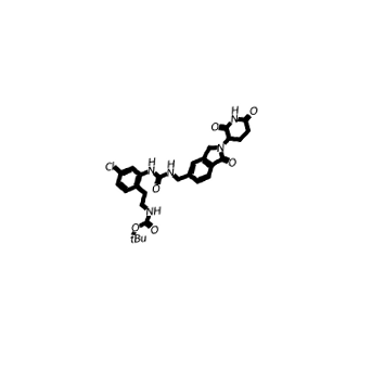 CC(C)(C)OC(=O)NCCc1ccc(Cl)cc1NC(=O)NCc1ccc2c(c1)CN(C1CCC(=O)NC1=O)C2=O